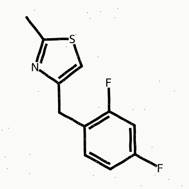 Cc1nc(Cc2ccc(F)cc2F)cs1